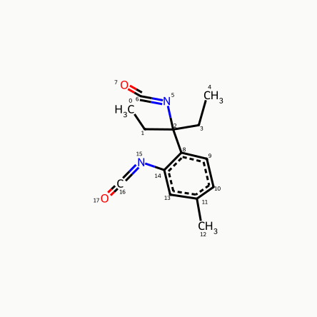 CCC(CC)(N=C=O)c1ccc(C)cc1N=C=O